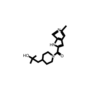 Cc1cc2cc(C(=O)N3CCC(CC(C)(C)O)CC3)[nH]c2cn1